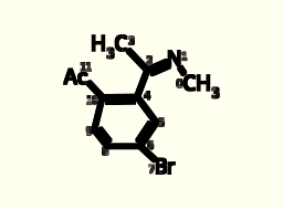 C/N=C(/C)c1cc(Br)ccc1C(C)=O